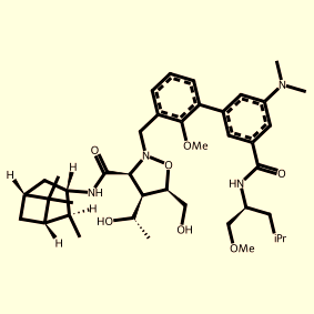 COC[C@H](CC(C)C)NC(=O)c1cc(-c2cccc(CN3O[C@@H](CO)[C@@H]([C@H](C)O)[C@H]3C(=O)N[C@H]3C[C@H]4C[C@@H]([C@@H]3C)C4(C)C)c2OC)cc(N(C)C)c1